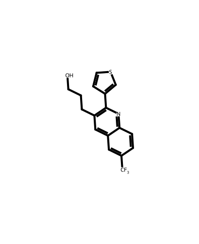 OCCCc1cc2cc(C(F)(F)F)ccc2nc1-c1ccsc1